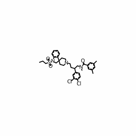 CCCS(=O)(=O)N1CC2(CCN(CCC(CN(C)C(=O)c3cc(C)cc(C)c3)c3ccc(Cl)c(Cl)c3)CC2)c2ccccc21